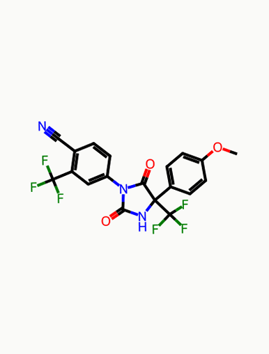 COc1ccc(C2(C(F)(F)F)NC(=O)N(c3ccc(C#N)c(C(F)(F)F)c3)C2=O)cc1